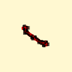 CN1Cc2c(Cl)cc(Cl)cc2[C@H](c2ccc(S(=O)(=O)NCCOCCOCCOCCNC(=O)NCCOCCOCCONS(=O)(=O)c3ccc([C@@H]4CN(C)Cc5c(Cl)cc(Cl)cc54)cc3)cc2)C1